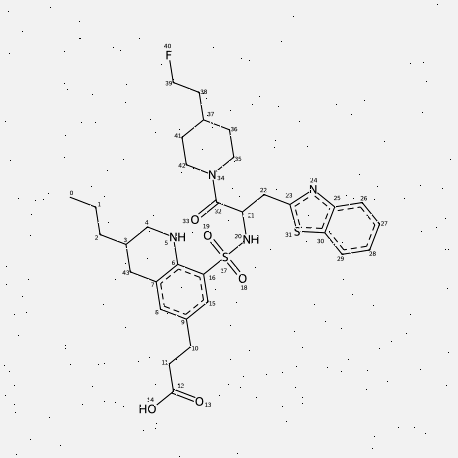 CCCC1CNc2c(cc(CCC(=O)O)cc2S(=O)(=O)NC(Cc2nc3ccccc3s2)C(=O)N2CCC(CCF)CC2)C1